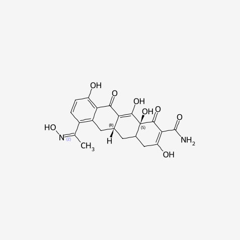 C/C(=N/O)c1ccc(O)c2c1C[C@H]1CC3CC(O)=C(C(N)=O)C(=O)[C@@]3(O)C(O)=C1C2=O